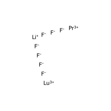 [F-].[F-].[F-].[F-].[F-].[F-].[F-].[Li+].[Lu+3].[Pr+3]